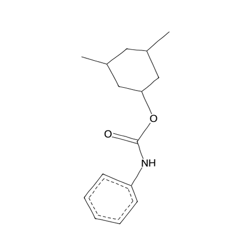 CC1CC(C)CC(OC(=O)Nc2ccccc2)C1